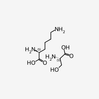 NCCCC[C@H](N)C(=O)O.N[C@@H](CO)C(=O)O